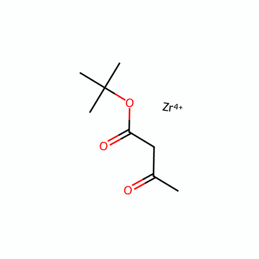 CC(=O)CC(=O)OC(C)(C)C.[Zr+4]